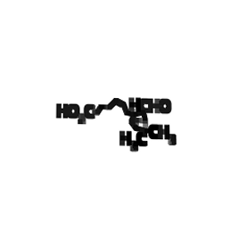 CC1(C)C2CC1C(C=O)[C@H](C/C=C\CCCC(=O)O)C2